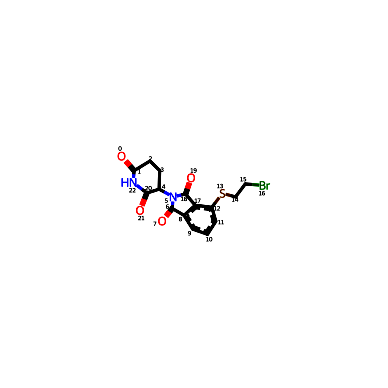 O=C1CCC(N2C(=O)c3cccc(SCCBr)c3C2=O)C(=O)N1